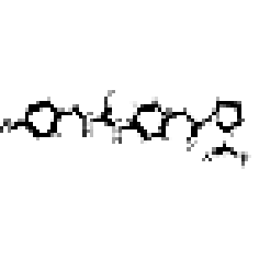 NC(=O)[C@@H]1CCCN1C(=O)Cc1ccc(NC(=O)NCc2ccc(Cl)cc2)cc1